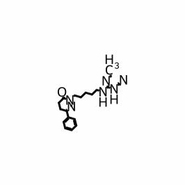 CCN=C(NC#N)NCCCCCN1N=C(c2ccccc2)CCC1=O